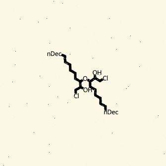 CCCCCCCCCCCCCCCCC(OC(CCCCCCCCCCCCCCCC)C(O)CCl)C(O)CCl